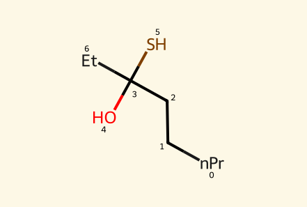 CCCCCC(O)(S)CC